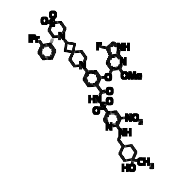 COc1nc2[nH]cc(F)c2cc1Oc1cc(N2CCC3(CC2)CC(N2CCS(=O)(=O)C[C@H]2c2ccccc2C(C)C)C3)ccc1C(=O)NS(=O)(=O)c1cnc(NCC2CCC(C)(O)CC2)c([N+](=O)[O-])c1